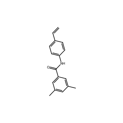 C=Cc1ccc(NC(=O)c2cc(C)cc(C)c2)cc1